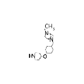 CCN1CC2CC1CN2CC1CCC(OC2CCN(I)CC2)CC1